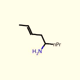 C/C=C/CC(N)CCC